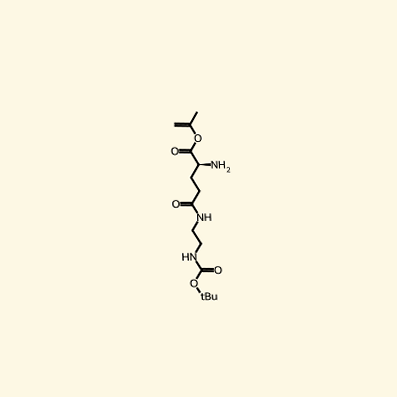 C=C(C)OC(=O)[C@@H](N)CCC(=O)NCCNC(=O)OC(C)(C)C